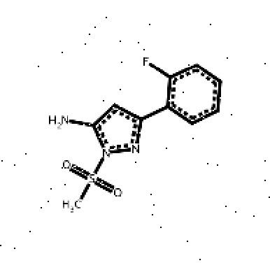 CS(=O)(=O)n1nc(-c2ccccc2F)cc1N